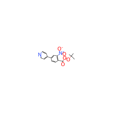 CC(C)(C)OOC(=O)c1ccc(-c2ccncc2)cc1[N+](=O)[O-]